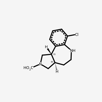 O=C(O)N1C[C@@H]2CCNc3c(Cl)cccc3[C@H]2C1